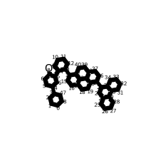 c1ccc(-c2ccc3oc4cccc(-c5ccc6ccc7c(-c8cc9ccccc9c9ccccc89)ccc8ccc5c6c87)c4c3c2)cc1